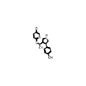 CC(Oc1ccc(Cl)cn1)C1CNCC1c1ccc(C#N)cc1